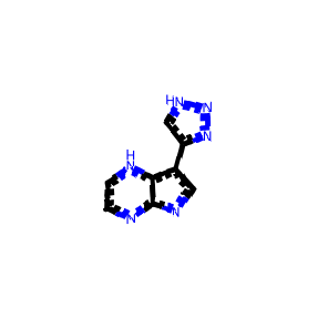 c1c[nH]c2c(-c3c[nH]nn3)cnc-2n1